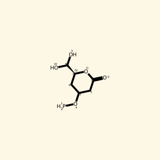 O=C1CC(OP)C[C@@H](C(O)O)O1